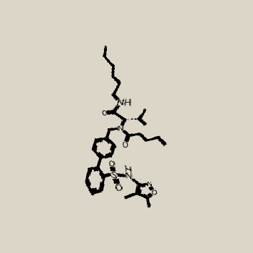 CCCCCCNC(=O)[C@H](C(C)C)N(Cc1ccc(-c2ccccc2S(=O)(=O)Nc2noc(C)c2C)cc1)C(=O)CCCC